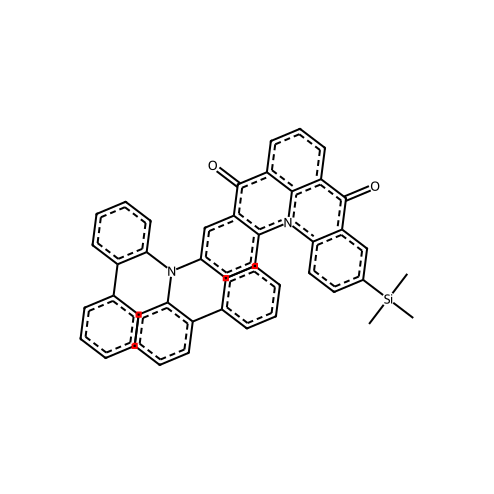 C[Si](C)(C)c1ccc2c(c1)c(=O)c1cccc3c(=O)c4cc(N(c5ccccc5-c5ccccc5)c5ccccc5-c5ccccc5)ccc4n2c31